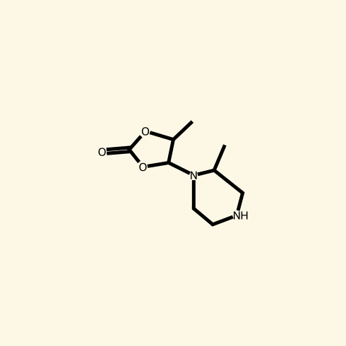 CC1OC(=O)OC1N1CCNCC1C